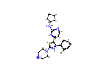 Fc1ccccc1-c1nc(N2CCNCC2)sc1-c1ccnc(NC2CCCC2)n1